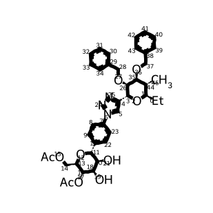 CC[C@H]1O[C@H](c2cn(-c3ccc([C@H]4O[C@H](COC(C)=O)[C@@H](OC(C)=O)[C@H](O)[C@@H]4O)cc3)nn2)[C@@H](OCc2ccccc2)[C@@H](OCc2ccccc2)[C@@H]1C